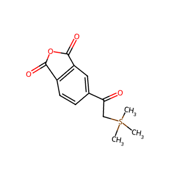 CS(C)(C)CC(=O)c1ccc2c(c1)C(=O)OC2=O